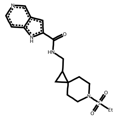 CCS(=O)(=O)N1CCC2(CC1)CC2CNC(=O)c1cc2cnccc2[nH]1